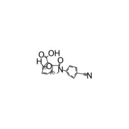 N#Cc1ccc(N2C[C@]34C=C[C@@H](O3)C(C(=O)O)C4C2=O)cc1